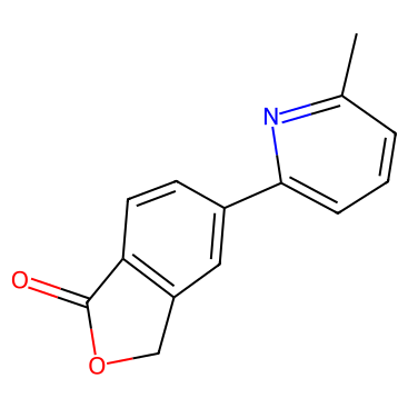 Cc1cccc(-c2ccc3c(c2)COC3=O)n1